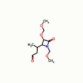 COCO[C@H]1C(=O)N(COC)C1C(C)CC=O